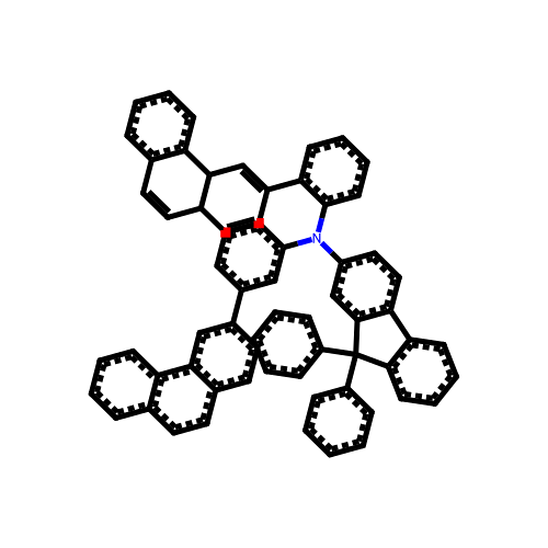 C1=CC2C=Cc3ccccc3C2C=C1c1ccccc1N(c1cccc(-c2ccc3ccc4ccccc4c3c2)c1)c1ccc2c(c1)C(c1ccccc1)(c1ccccc1)c1ccccc1-2